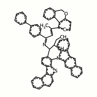 CCC(C)C(/N=C(\C=C(/C)c1cccc2c1-c1ccccc1CO2)c1ccc(-c2ccccc2)cc1)c1ccc2c(sc3ccc4ccccc4c32)c1-n1c2ccccc2c2cc3ccccc3cc21